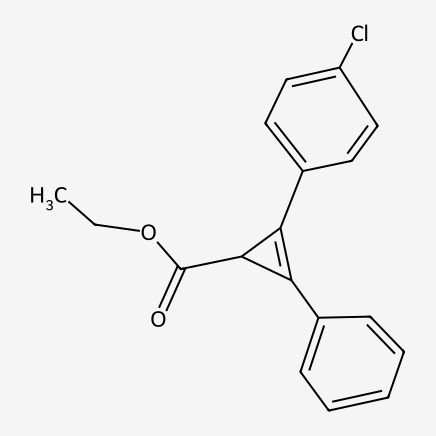 CCOC(=O)C1C(c2ccccc2)=C1c1ccc(Cl)cc1